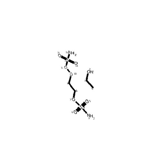 CCO.NS(=O)(=O)OCCOOS(N)(=O)=O